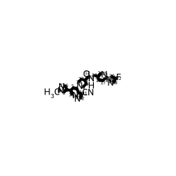 Cn1cc(-c2cc(N3CCC(C(=O)NCc4ccc(-n5cc(F)cn5)nc4)CC3)c3c(C#N)cnn3c2)cn1